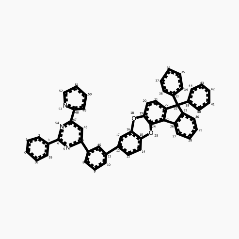 c1ccc(-c2nc(-c3cccc(-c4ccc5c(c4)Oc4ccc6c(c4O5)-c4ccccc4C6(c4ccccc4)c4ccccc4)c3)cc(-c3ccccn3)n2)cc1